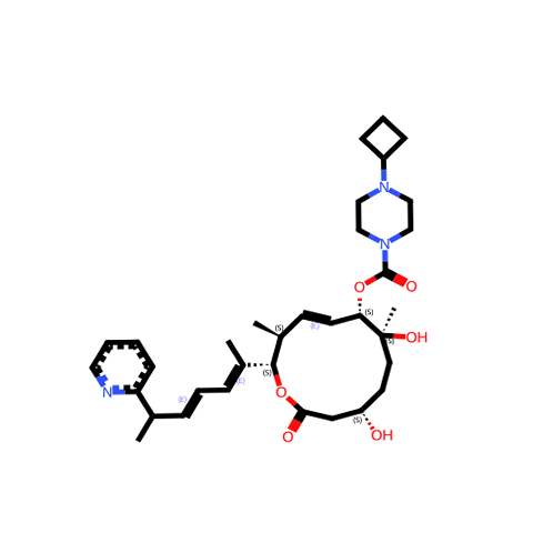 C/C(=C\C=C\C(C)c1ccccn1)[C@H]1OC(=O)C[C@@H](O)CC[C@](C)(O)[C@@H](OC(=O)N2CCN(C3CCC3)CC2)/C=C/[C@@H]1C